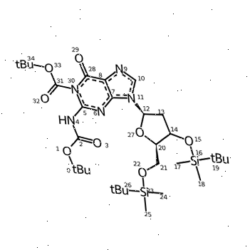 CC(C)(C)OC(=O)Nc1nc2c(ncn2[C@H]2CC(O[Si](C)(C)C(C)(C)C)[C@@H](CO[Si](C)(C)C(C)(C)C)O2)c(=O)n1C(=O)OC(C)(C)C